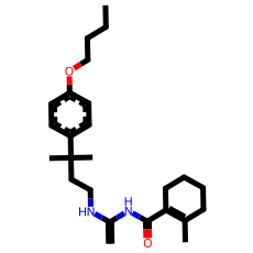 C=C(NCCC(C)(C)c1ccc(OCCCC)cc1)NC(=O)C1=C(C)CCCC1